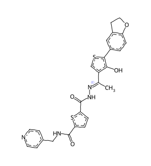 C/C(=N\NC(=O)c1ccc(C(=O)NCc2ccncc2)s1)c1csc(-c2ccc3c(c2)CCO3)c1O